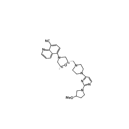 COC1CCN(c2nccc(N3CCN(C[C@H]4CN(c5ccc(C#N)c6ncccc56)C[C@@H](C)O4)CC3)n2)C1